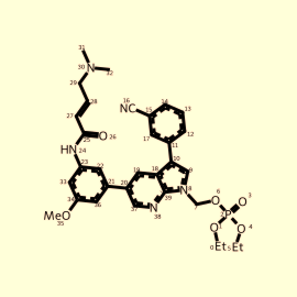 CCOP(=O)(OCC)OCn1cc(-c2cccc(C#N)c2)c2cc(-c3cc(NC(=O)C=CCN(C)C)cc(OC)c3)cnc21